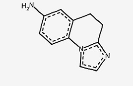 Nc1ccc2c(c1)CCc1nccn1-2